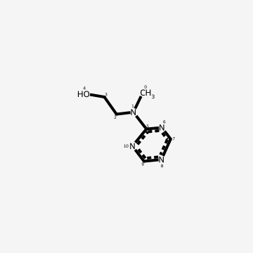 CN(CCO)c1ncncn1